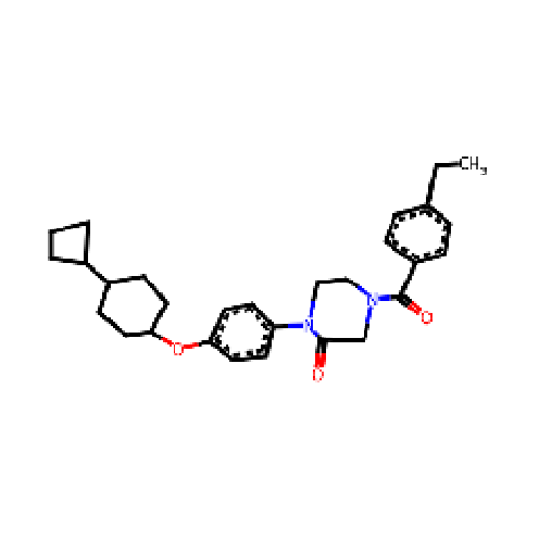 CCc1ccc(C(=O)N2CCN(c3ccc(OC4CCC(C5CCC5)CC4)cc3)C(=O)C2)cc1